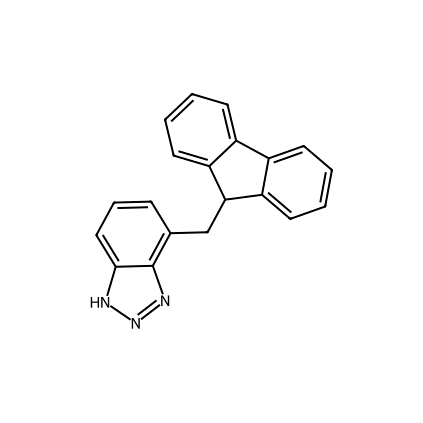 c1ccc2c(c1)-c1ccccc1C2Cc1cccc2[nH]nnc12